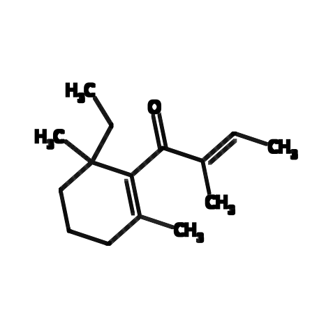 C/C=C(\C)C(=O)C1=C(C)CCCC1(C)CC